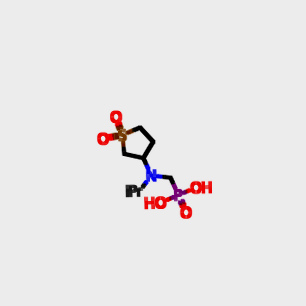 CC(C)N(CP(=O)(O)O)C1CCS(=O)(=O)C1